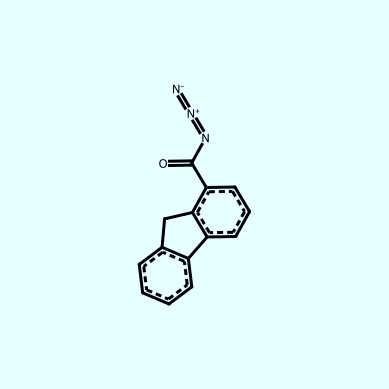 [N-]=[N+]=NC(=O)c1cccc2c1Cc1ccccc1-2